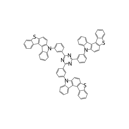 c1cc(-c2nc(-c3cccc(-n4c5ccccc5c5c6c(ccc54)sc4ccccc46)c3)nc(-c3cccc(-n4c5ccccc5c5c6c(ccc54)sc4ccccc46)c3)n2)cc(-n2c3ccccc3c3c4c(ccc32)sc2ccccc24)c1